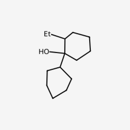 CCC1CCCCC1(O)C1CCCCC1